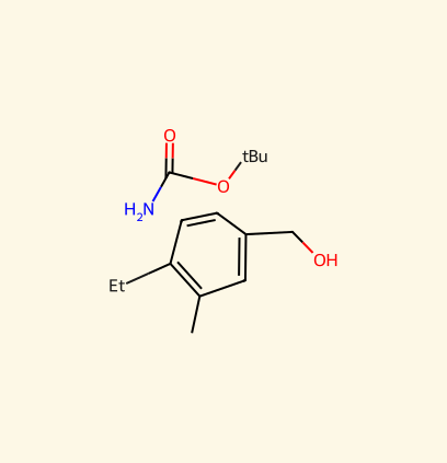 CC(C)(C)OC(N)=O.CCc1ccc(CO)cc1C